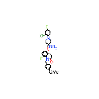 COc1ccc(CN2C(=O)CCc3c(OCC4(N)CCN(c5ccc(F)cc5Cl)CC4)ccc(F)c32)cc1